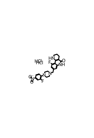 Cl.Cl.O=c1[nH]c2cc(CN3CCN(c4ccc([N+](=O)[O-])cc4F)CC3)cc(F)c2c2c1CCCN2